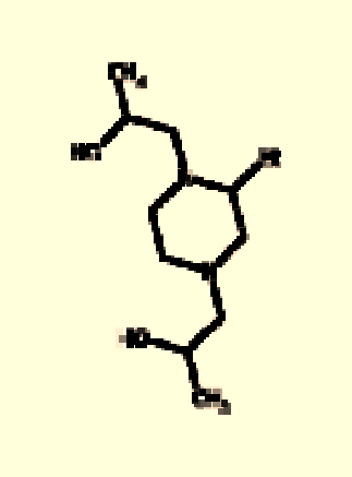 CCC1CN(CC(C)O)CCN1CC(C)O